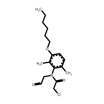 CCCCCCOc1ccc(C)c(N(CC=O)C(=O)CCl)c1C